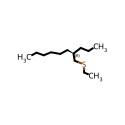 CCCCCC[C@@H](CCC)CSCC